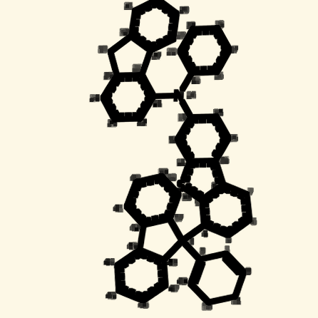 C1=CC(C2(c3cccc4c3sc3cc(N(c5ccccc5)c5cccc6c5-c5ccccc5C6)ccc34)c3ccccc3-c3ccccc32)=CCC1